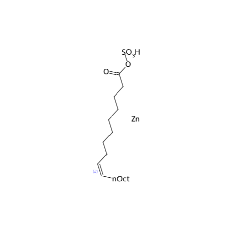 CCCCCCCC/C=C\CCCCCCCC(=O)OS(=O)(=O)O.[Zn]